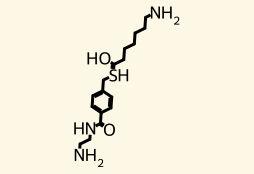 NCCCCCCC(O)=[SH]Cc1ccc(C(=O)NCCN)cc1